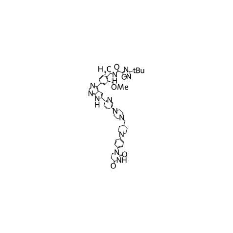 COCc1cc(-c2ncnc3[nH]c(-c4ccc(N5CCN(CC6CCN(c7ccc(N8CCC(=O)NC8=O)cc7)CC6)CC5)cn4)cc23)ccc1C(C)NC(=O)c1nc(C(C)(C)C)no1